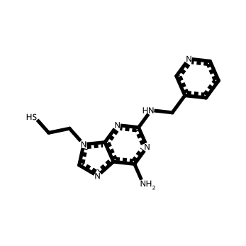 Nc1nc(NCc2cccnc2)nc2c1ncn2CCS